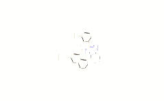 Fc1cccc(C2=NC3CCCCC3N2)c1CCc1cc(Br)cc2ccccc12